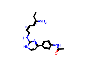 CC/C(N)=C\C=C/CNC1N=C(c2ccc(NC(C)=O)cc2)C=CN1